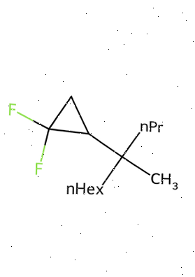 CCCCCCC(C)(CCC)C1CC1(F)F